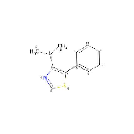 CC(C)c1ncsc1-c1ccccc1